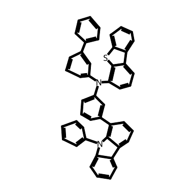 c1ccc(-c2cccc(N(c3cccc(-c4cccc5c6ccccc6n(-c6ccccc6)c45)c3)c3cccc4c3sc3ccccc34)c2)cc1